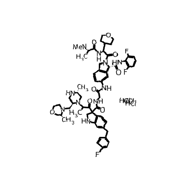 CN[C@@H](C)C(=O)N[C@H](C(=O)N1Cc2ccc(NC(=O)CNC(=O)C3(C(=O)C(C)N4C[C@@H](C)NC[C@@H]4CN4CCOC[C@H]4C)CNc4cc(Cc5ccc(F)cc5)ccc43)cc2[C@H]1C(=O)Nc1c(F)cccc1F)C1CCOCC1.Cl.Cl.Cl